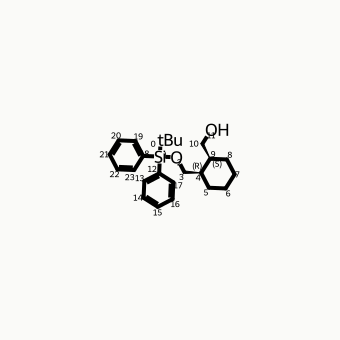 CC(C)(C)[Si](OC[C@@H]1CCCC[C@@H]1CO)(c1ccccc1)c1ccccc1